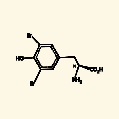 N[C@@H](Cc1cc(Br)c(O)c(Br)c1)C(=O)O